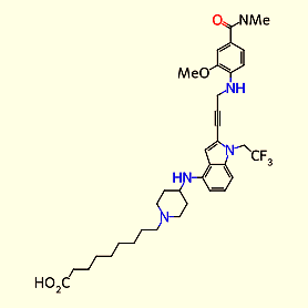 CNC(=O)c1ccc(NCC#Cc2cc3c(NC4CCN(CCCCCCCCC(=O)O)CC4)cccc3n2CC(F)(F)F)c(OC)c1